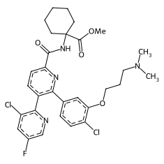 COC(=O)C1(NC(=O)c2ccc(-c3ncc(F)cc3Cl)c(-c3ccc(Cl)c(OCCCN(C)C)c3)n2)CCCCC1